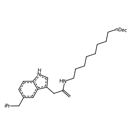 C=C(Cc1c[nH]c2ccc(CC(C)C)cc12)NCCCCCCCCCCCCCCCCCC